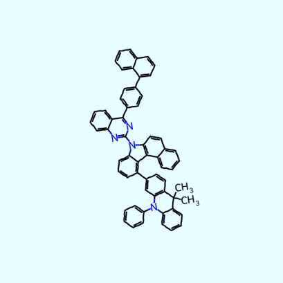 CC1(C)c2ccccc2N(c2ccccc2)c2cc(-c3cccc4c3c3c5ccccc5ccc3n4-c3nc(-c4ccc(-c5cccc6ccccc56)cc4)c4ccccc4n3)ccc21